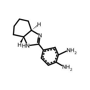 Nc1ccc(C2=N[C@@H]3CCCC[C@H]3N2)cc1N